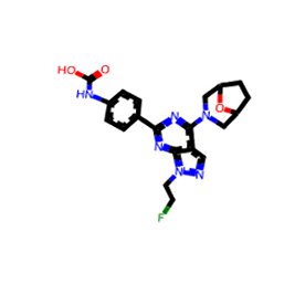 O=C(O)Nc1ccc(-c2nc(N3CC4CCC(C3)O4)c3cnn(CCF)c3n2)cc1